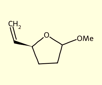 C=C[C@@H]1CCC(OC)O1